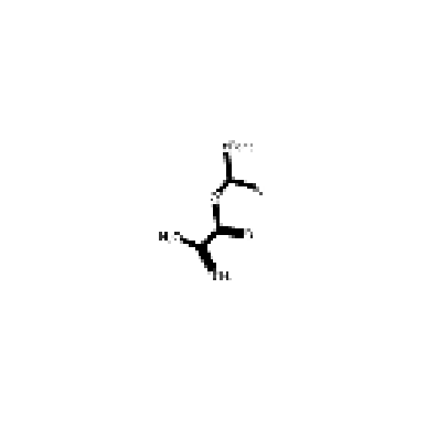 C=C(C)C(=O)OC(Cl)CCCCC